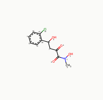 CN(O)C(=O)C(=O)CC(O)c1ccccc1Cl